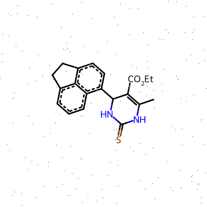 CCOC(=O)C1=C(C)NC(=S)NC1c1ccc2c3c(cccc13)CC2